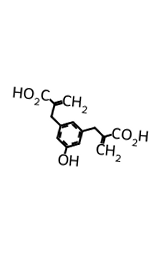 C=C(Cc1cc(O)cc(CC(=C)C(=O)O)c1)C(=O)O